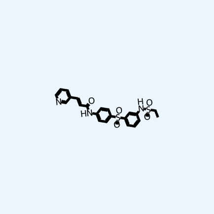 CCS(=O)(=O)Nc1cccc(S(=O)(=O)c2ccc(NC(=O)C=Cc3cccnc3)cc2)c1